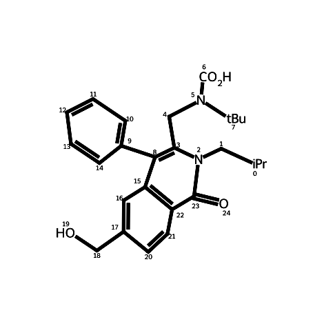 CC(C)Cn1c(CN(C(=O)O)C(C)(C)C)c(-c2ccccc2)c2cc(CO)ccc2c1=O